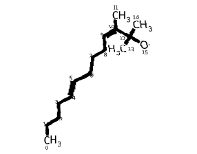 CCCCC=CCCCC=C(C)C(C)(C)[O]